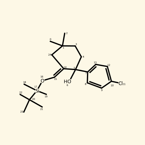 CC1(C)CCC(O)(c2ccc(Cl)cc2)C(=CO[Si](C)(C)C(C)(C)C)C1